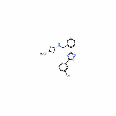 Cc1cccc(-c2nc(-c3ccccc3CN[C@H]3C[C@@H](C(=O)O)C3)no2)c1